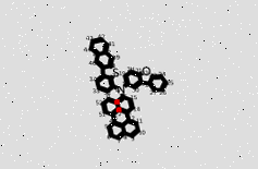 c1ccc(-c2cccc3cccc(-c4ccc(N(c5ccc6oc7ccccc7c6c5)c5cccc6c5sc5cc7ccccc7cc56)cc4)c23)cc1